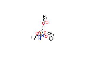 CC(=O)NS(=O)(CCCCCOC(C)=O)=NC(=O)O[C@@H](C)c1ccccc1